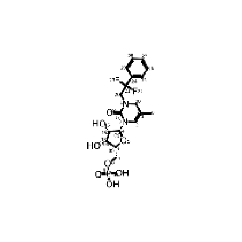 CC1=CN([C@@H]2O[C@H](COP(=O)(O)O)[C@H](O)[C@@H]2O)C(=O)N(CC(F)(F)c2ccccc2)C1